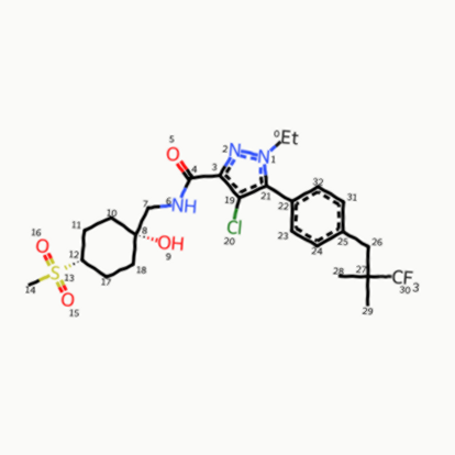 CCn1nc(C(=O)NC[C@]2(O)CC[C@@H](S(C)(=O)=O)CC2)c(Cl)c1-c1ccc(CC(C)(C)C(F)(F)F)cc1